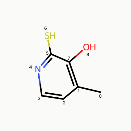 Cc1ccnc(S)c1O